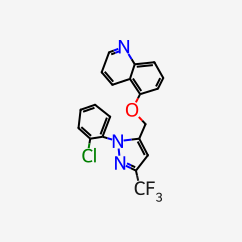 FC(F)(F)c1cc(COc2cccc3ncccc23)n(-c2ccccc2Cl)n1